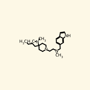 CCCCC1(N(C)C)CCN(CCN(C)Cc2ccc3cc[nH]c3c2)CC1